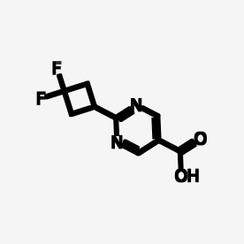 O=C(O)c1cnc(C2CC(F)(F)C2)nc1